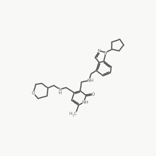 Cc1cc(CNCC2CCOCC2)c(CNCc2cccc3c2cnn3C2CCCC2)c(=O)[nH]1